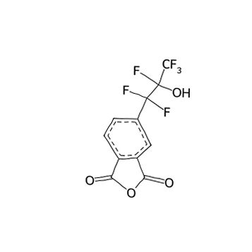 O=C1OC(=O)c2cc(C(F)(F)C(O)(F)C(F)(F)F)ccc21